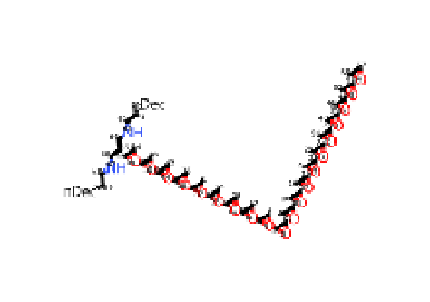 C1CO1.C1CO1.C1CO1.C1CO1.C1CO1.C1CO1.C1CO1.C1CO1.C1CO1.C1CO1.C1CO1.C1CO1.C1CO1.C1CO1.C1CO1.C1CO1.C1CO1.C1CO1.C1CO1.C1CO1.CCCCCCCCCCCCNCCCNCCCCCCCCCCCC